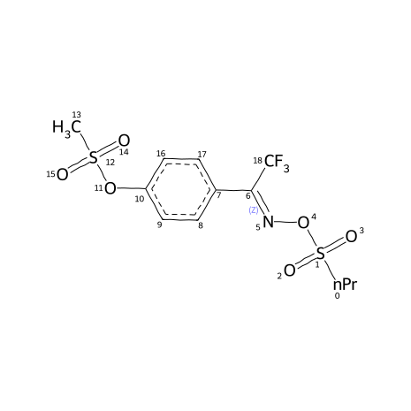 CCCS(=O)(=O)O/N=C(/c1ccc(OS(C)(=O)=O)cc1)C(F)(F)F